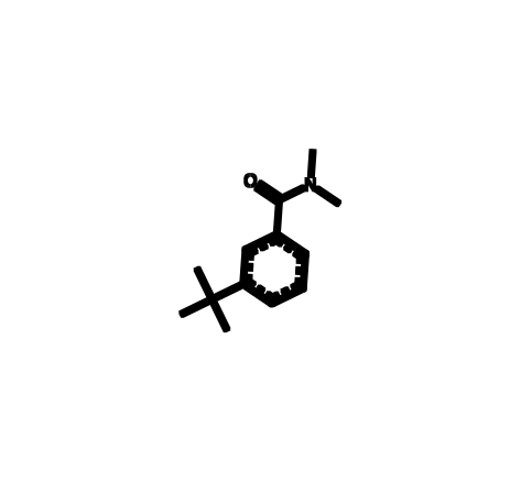 CN(C)C(=O)c1cccc(C(C)(C)C)c1